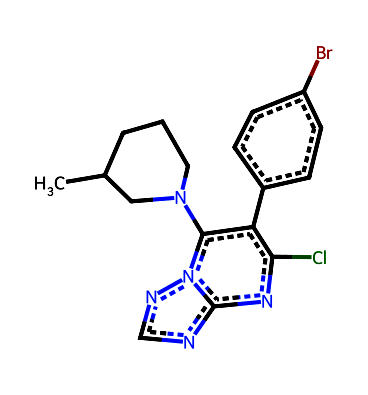 CC1CCCN(c2c(-c3ccc(Br)cc3)c(Cl)nc3ncnn23)C1